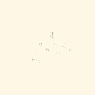 CC(C(=O)O)n1c(=O)[nH]c2cnc(-c3cnn4ccccc34)nc21